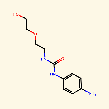 Nc1ccc(NC(=O)NCCOCCO)cc1